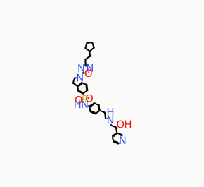 O=S(=O)(Nc1ccc(CCNCC(O)c2cccnc2)cc1)c1ccc2c(c1)CCN2c1nc(CCC2CCCC2)no1